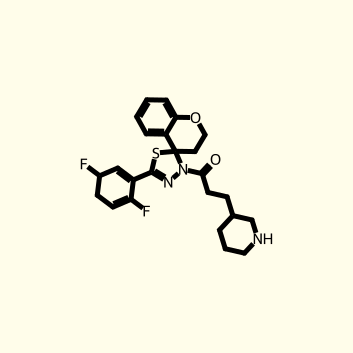 O=C(CCC1CCCNC1)N1N=C(C2=CC(F)CC=C2F)SC12CCOc1ccccc12